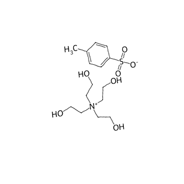 Cc1ccc(S(=O)(=O)[O-])cc1.OCC[N+](CCO)(CCO)CCO